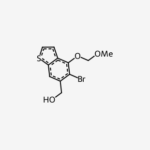 COCOc1c(Br)c(CO)cc2sccc12